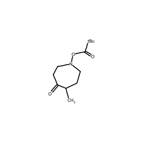 CC1CCN(OC(=O)C(C)(C)C)CCC1=O